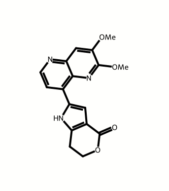 COc1cc2nccc(-c3cc4c([nH]3)CCOC4=O)c2nc1OC